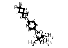 CC1(C)OB(c2ccc(N3CC4(C3)CC(F)(F)C4)nc2)OC1(C)C